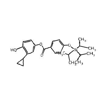 CC(C)[Si](Oc1ccc(C(=O)Oc2ccc(O)c(C3CC3)c2)cc1)(C(C)C)C(C)C